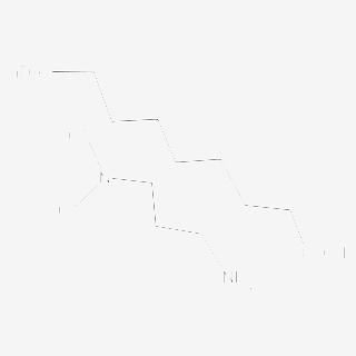 CCCCCCCCCCCCCCCCCC(=O)O.CCCN(CCC)CCCN